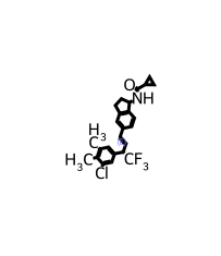 Cc1cc(C(/C=C/c2ccc3c(c2)CCC3NC(=O)C2CC2)C(F)(F)F)cc(Cl)c1C